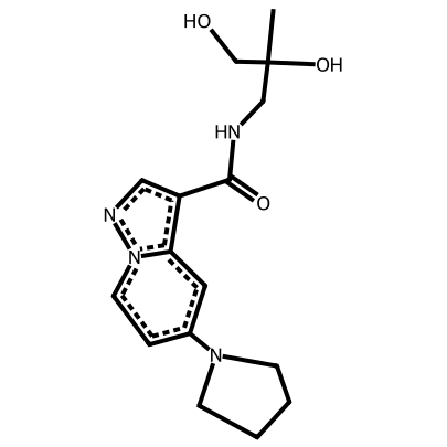 CC(O)(CO)CNC(=O)c1cnn2ccc(N3CCCC3)cc12